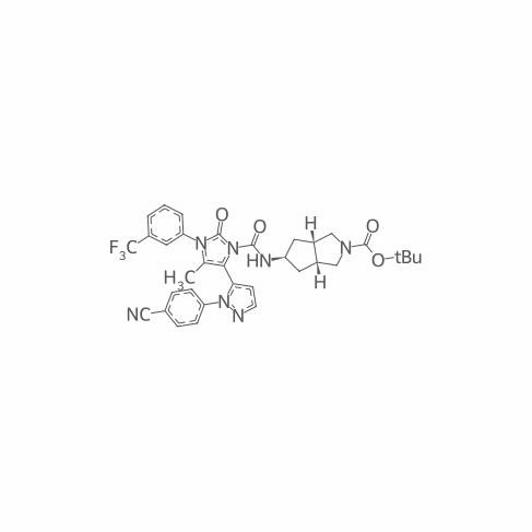 Cc1c(-c2ccnn2-c2ccc(C#N)cc2)n(C(=O)N[C@H]2C[C@@H]3CN(C(=O)OC(C)(C)C)C[C@@H]3C2)c(=O)n1-c1cccc(C(F)(F)F)c1